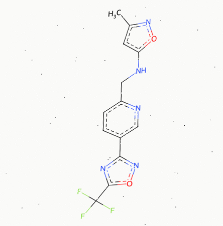 Cc1cc(NCc2ccc(-c3noc(C(F)(F)F)n3)cn2)on1